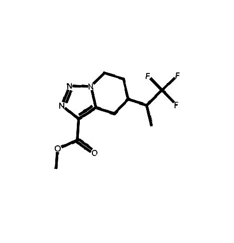 COC(=O)c1nnn2c1CC(C(C)C(F)(F)F)CC2